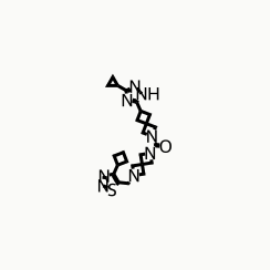 O=C(N1CC2(CC(c3nc(C4CC4)n[nH]3)C2)C1)N1CC2(CN(Cc3snnc3C3CCC3)C2)C1